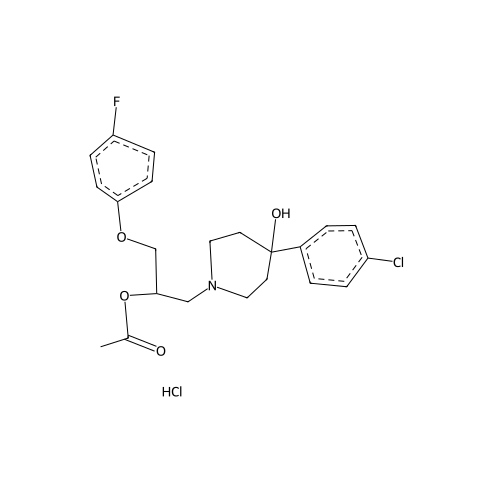 CC(=O)OC(COc1ccc(F)cc1)CN1CCC(O)(c2ccc(Cl)cc2)CC1.Cl